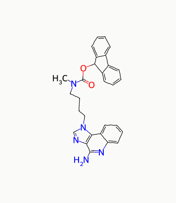 CN(CCCCn1cnc2c(N)nc3ccccc3c21)C(=O)OC1c2ccccc2-c2ccccc21